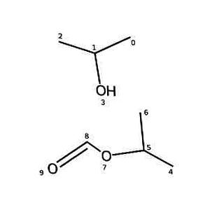 CC(C)O.CC(C)OC=O